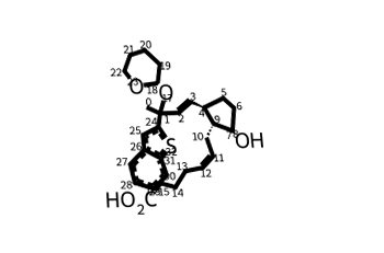 CC(/C=C/[C@H]1CC[C@H](O)[C@@H]1C/C=C\CCCC(=O)O)(OC1CCCCO1)c1cc2ccccc2s1